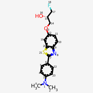 CN(C)c1ccc(-c2nc3ccc(OC[C@H](O)CF)cc3s2)cc1